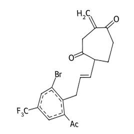 C=C1CC(=O)C(/C=C/Cc2c(Br)cc(C(F)(F)F)cc2C(C)=O)CCC1=O